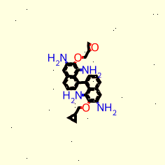 Nc1cc2cccc(-c3cccc4cc(N)c(OCC5CO5)c(N)c34)c2c(N)c1OCC1CC1